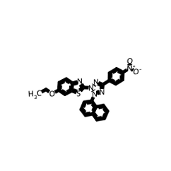 CCOc1ccc2nc(-[n+]3nc(-c4ccc([N+](=O)[O-])cc4)nn3-c3cccc4ccccc34)sc2c1